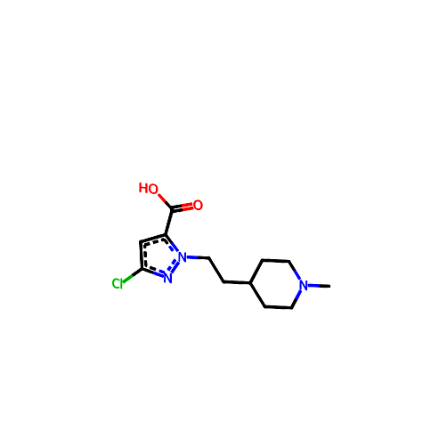 CN1CCC(CCn2nc(Cl)cc2C(=O)O)CC1